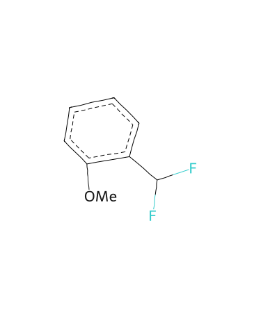 COc1ccccc1C(F)F